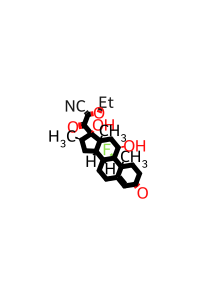 CCOC(C#N)C(=O)[C@@]1(O)[C@@H](C)C[C@H]2[C@@H]3CCC4=CC(=O)CC[C@]4(C)[C@@]3(F)[C@@H](O)C[C@@]21C